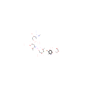 CCNC1COC(OC2C(O)OC(C)C(NOC3CC(O)C(SC(=O)c4c(C)c(I)c(OC5OC6OC6C(OC)C5O)c(OC)c4OC)C(C)O3)C2O)CC1OC